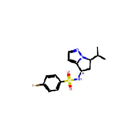 CC(C)C1C[C@@H](NS(=O)(=O)c2ccc(Br)cc2)c2ccnn21